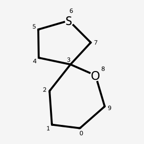 C1CCC2(CCSC2)OC1